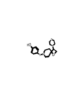 Oc1ccc(SN2CCC3(CC2)OCC3N2CCOCC2)cc1